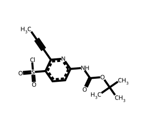 CC#Cc1nc(NC(=O)OC(C)(C)C)ccc1S(=O)(=O)Cl